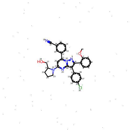 COc1ccccc1-c1nn2c(-c3cccc(C#N)c3)cc(N3CCCC3CO)nc2c1-c1ccc(Cl)cc1